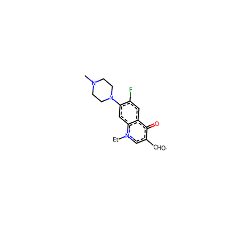 CCn1cc([C]=O)c(=O)c2cc(F)c(N3CCN(C)CC3)cc21